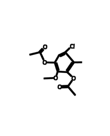 COc1c(OC(C)=O)cc(Cl)c(C)c1OC(C)=O